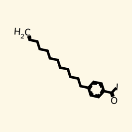 C=CCCCCCCCCCCc1ccc(C(=O)I)cc1